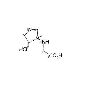 Cl.O=C(O)CNN1C=NCC1